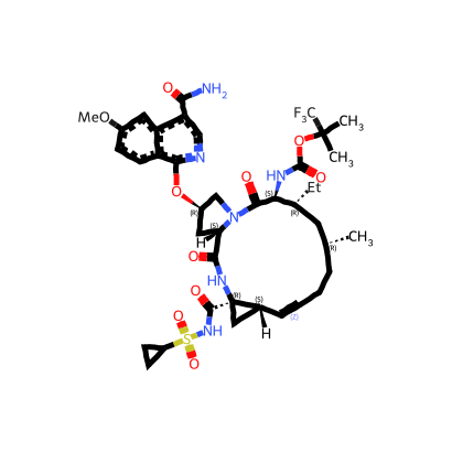 CC[C@@H]1C[C@H](C)CC/C=C\[C@@H]2C[C@@]2(C(=O)NS(=O)(=O)C2CC2)NC(=O)[C@@H]2C[C@@H](Oc3ncc(C(N)=O)c4cc(OC)ccc34)CN2C(=O)[C@H]1NC(=O)OC(C)(C)C(F)(F)F